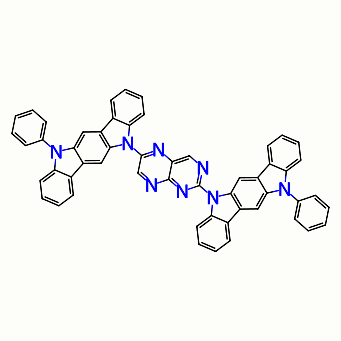 c1ccc(-n2c3ccccc3c3cc4c(cc32)c2ccccc2n4-c2cnc3nc(-n4c5ccccc5c5cc6c(cc54)c4ccccc4n6-c4ccccc4)ncc3n2)cc1